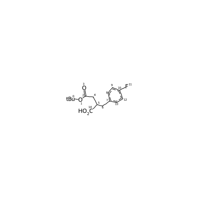 CC(C)(C)OC(=O)CC(Cc1ccc(F)cc1)C(=O)O